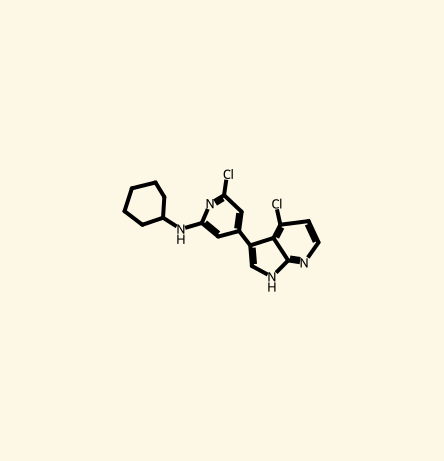 Clc1cc(-c2c[nH]c3nccc(Cl)c23)cc(NC2CCCCC2)n1